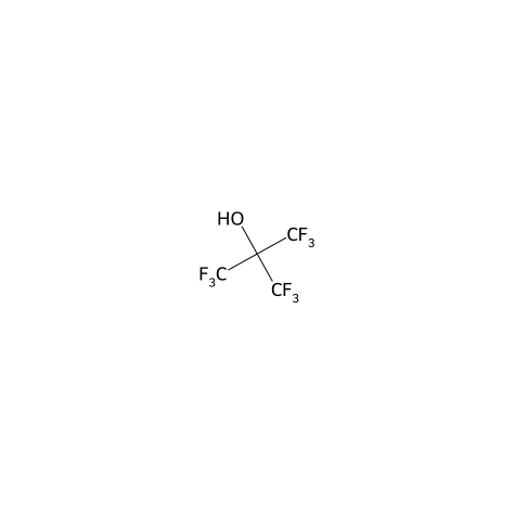 OC(C(F)(F)F)(C(F)(F)F)C(F)(F)F